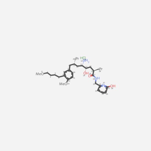 COCCCCc1cc(C[C@@H](C[C@H](N)[C@@H](O)C[C@H](C(=O)NCc2cccc(O)n2)C(C)C)C(C)C)ccc1OC.Cl